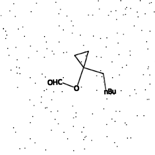 CCCCCC1(OC=O)CC1